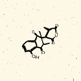 CC1C(=O)OC(=O)C1C1(C)C(=O)c2cccc(O)c2C(=O)C1C